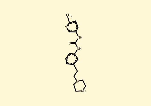 Cc1ccc(NC(=O)Nc2cccc(CCN3CCNCC3)c2)cn1